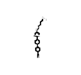 CC=CCCCOc1cnc(-c2ccc(-c3ccc(C#N)cc3)cc2)nc1